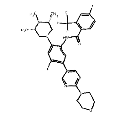 C[C@@H]1CN(c2cc(F)c(-c3cnc(N4CCOCC4)nc3)cc2NC(=O)c2ccc(F)cc2C(F)(F)F)C[C@H](C)N1C